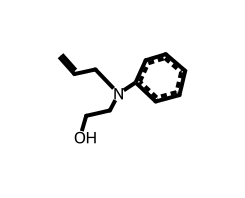 C=CCN(CCO)c1ccccc1